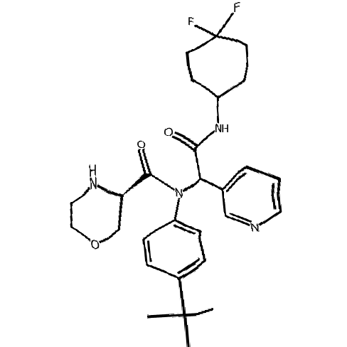 CC(C)(C)c1ccc(N(C(=O)[C@H]2COCCN2)C(C(=O)NC2CCC(F)(F)CC2)c2cccnc2)cc1